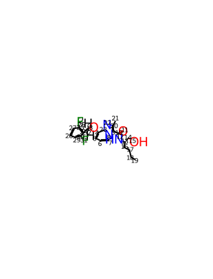 [2H]C([2H])(Oc1cccn2c(C(=O)N[C@@H](CO)CCCC)c(C)nc12)c1c(F)cccc1F